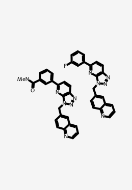 CNC(=O)c1cccc(-c2ccc3nnn(Cc4ccc5ncccc5c4)c3n2)c1.Fc1cccc(-c2ccc3nnn(Cc4ccc5ncccc5c4)c3n2)c1